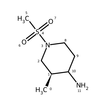 C[C@H]1CN(S(C)(=O)=O)CCC1N